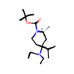 CCN(CC)C1(C(C)C)CCN(C(=O)OC(C)(C)C)[C@H](C)C1